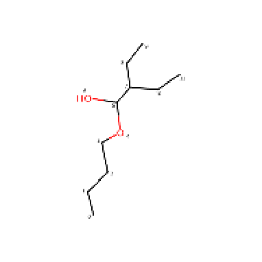 CCCCOC(O)C(CC)CC